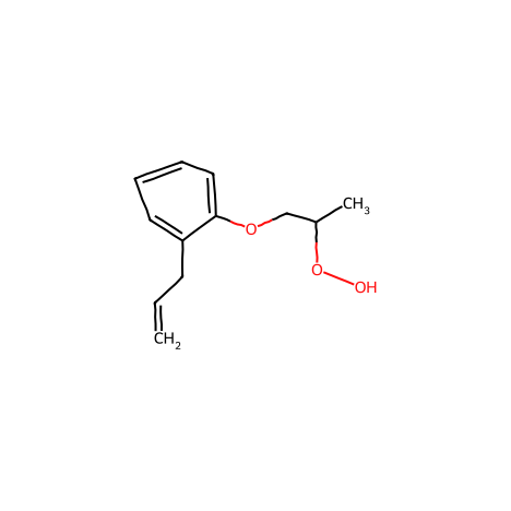 C=CCc1ccccc1OCC(C)OO